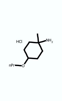 CCCOC1CCC(C)(N)CC1.Cl